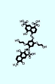 Nc1ccc2c(O)c(/N=N/c3cc(OCCO)c(/N=N/c4ccc(S(=O)(=O)O)c5cc(S(=O)(=O)O)cc(O)c45)cc3OCCO)c(S(=O)(=O)O)cc2c1Cl